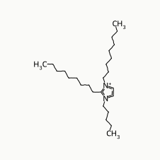 CCCCCCCCCc1n(CCCCC)cc[n+]1CCCCCCCCC